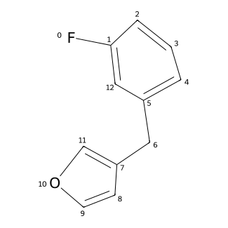 Fc1cccc(Cc2ccoc2)c1